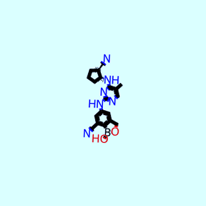 Cc1cnc(Nc2cc(C#N)c3c(c2)COB3O)nc1N[C@@H]1CCC[C@H]1C#N